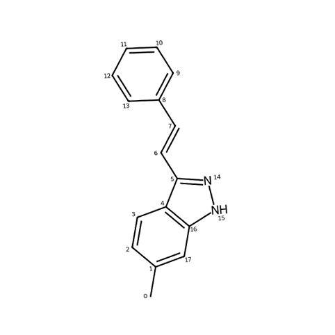 Cc1ccc2c(/C=C/c3ccccc3)n[nH]c2c1